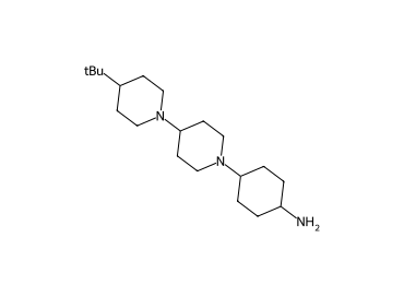 CC(C)(C)C1CCN(C2CCN(C3CCC(N)CC3)CC2)CC1